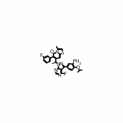 Cc1csc2cc([C@H](C)n3nc(-c4ccc(OC(C)C)c(P)c4)c4c(F)ncnc43)c(-c3cccc(F)c3)c(=O)n12